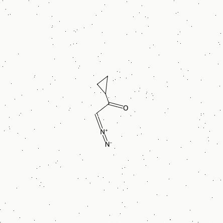 [N-]=[N+]=CC(=O)C1CC1